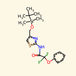 CC(C)(C)[Si](C)(C)OCc1csc(NC(=O)C(F)(F)Oc2ccccc2)n1